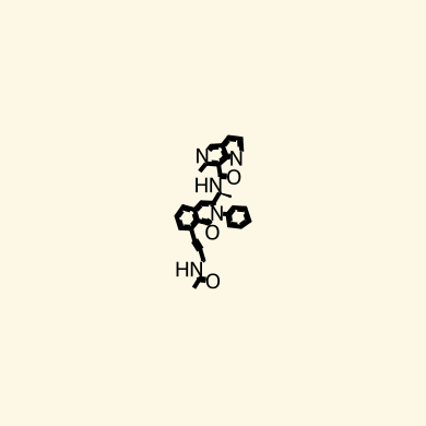 CC(=O)NCC#Cc1cccc2cc([C@H](C)NC(=O)c3c(C)ncc4cccnc34)n(-c3ccccc3)c(=O)c12